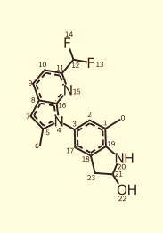 Cc1cc(-n2c(C)cc3ccc(C(F)F)nc32)cc2c1NC(O)C2